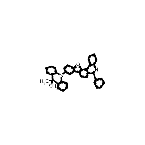 CC1(C)c2ccccc2N(c2ccc3oc4c(ccc5c(-c6ccccc6)nc6ccccc6c54)c3c2)c2ccccc21